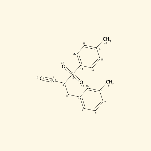 [C-]#[N+]C(Cc1cccc(C)c1)S(=O)(=O)c1ccc(C)cc1